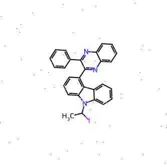 CC(I)n1c2ccccc2c2c(-c3nc4ccccc4nc3-c3ccccc3)cccc21